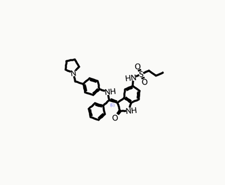 CCCS(=O)(=O)Nc1ccc2c(c1)/C(=C(\Nc1ccc(CN3CCCC3)cc1)c1ccccc1)C(=O)N2